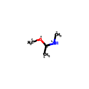 CNC(C)OC